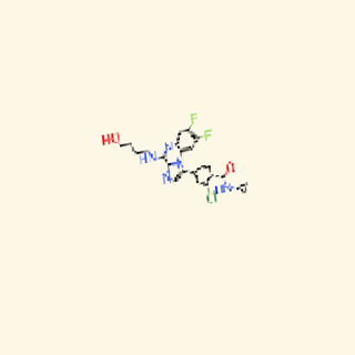 O=C(NC1CC1)c1ccc(-c2cnc3c(NCCCCO)nc4cc(F)c(F)cc4n23)cc1Cl